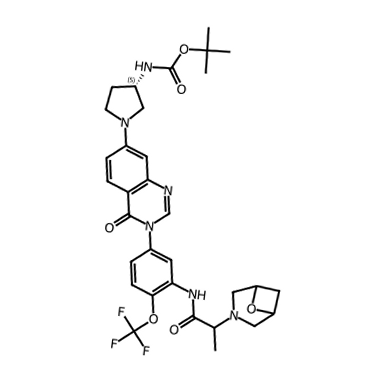 CC(C(=O)Nc1cc(-n2cnc3cc(N4CC[C@H](NC(=O)OC(C)(C)C)C4)ccc3c2=O)ccc1OC(F)(F)F)N1CC2CC(C1)O2